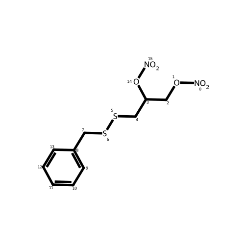 O=[N+]([O-])OCC(CSSCc1ccccc1)O[N+](=O)[O-]